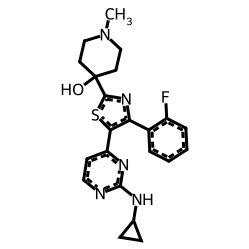 CN1CCC(O)(c2nc(-c3ccccc3F)c(-c3ccnc(NC4CC4)n3)s2)CC1